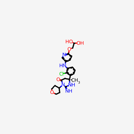 C[C@@]1(c2cccc(Nc3ccc(OCC(O)O)nc3)c2Cl)CC(=O)N(C2CCOCC2)C(=N)N1